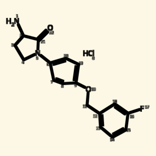 Cl.NC1CCN(c2ccc(OCc3cccc(F)c3)cc2)C1=O